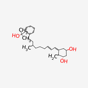 C=C1/C(=C\C=C\CCC[C@@H](C)CCc2ccccc2C(C)(C)O)C[C@@H](O)C[C@@H]1O